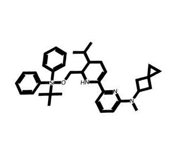 CC(C)C1CC=C(c2cccc(N(C)C3CC4(CC4)C3)n2)NC1CO[Si](c1ccccc1)(c1ccccc1)C(C)(C)C